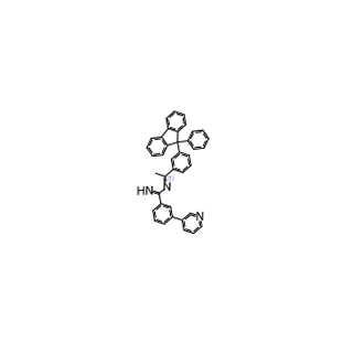 C/C(=N\C(=N)c1cccc(-c2cccnc2)c1)c1cccc(C2(c3ccccc3)c3ccccc3-c3ccccc32)c1